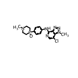 CN1CCP(=O)(c2ccc(Nc3ncc(Cl)c4c3nnn4C)cc2)CC1